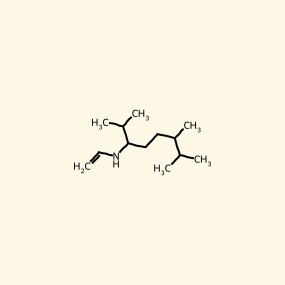 C=CNC(CCC(C)C(C)C)C(C)C